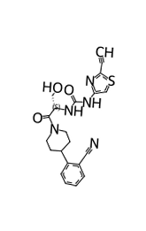 C#Cc1nc(NC(=O)N[C@@H](CO)C(=O)N2CCC(c3ccccc3C#N)CC2)cs1